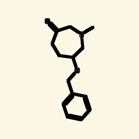 CN1CC(=O)CCC(OCc2ccccc2)C1